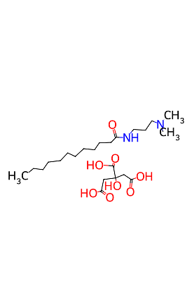 CCCCCCCCCCCC(=O)NCCCN(C)C.O=C(O)CC(O)(CC(=O)O)C(=O)O